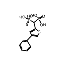 O=P(O)(O)C(c1cc(-c2ccccc2)cs1)P(O)(O)=S